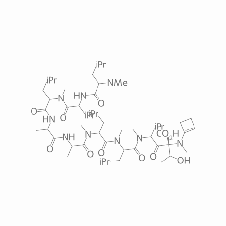 CNC(CC(C)C)C(=O)NC(C(=O)N(C)C(CC(C)C)C(=O)NC(C)C(=O)NC(C)C(=O)N(C)C(CC(C)C)C(=O)N(C)C(CC(C)C)C(=O)N(C)C(C(=O)[C@@](C(=O)O)(C(C)O)N(C)C1=CCC1)C(C)C)C(C)C